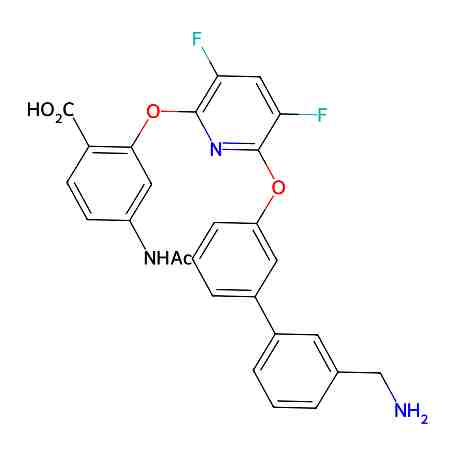 CC(=O)Nc1ccc(C(=O)O)c(Oc2nc(Oc3cccc(-c4cccc(CN)c4)c3)c(F)cc2F)c1